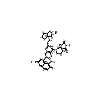 CCc1c(F)ccc2cc(O)cc(C3Cc4nc(OC[C@@]56CCCN5C[C@H](F)C6)nc(N5CCCC6(C5)NC(=O)NC6=O)c4CO3)c12